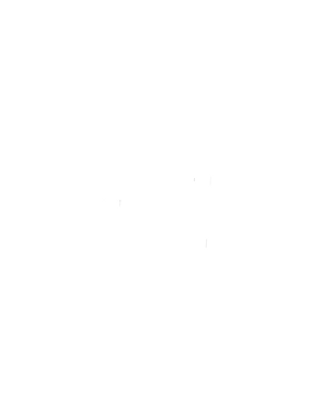 [CH2]CC(C)CCCC